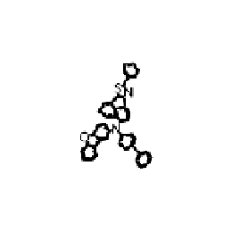 c1ccc(-c2ccc(N(c3ccc4oc5ccccc5c4c3)c3ccc4c5c(cccc35)-c3sc(-c5ccccc5)nc3-4)cc2)cc1